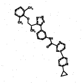 Cc1cccc(C)c1OC[C@H](C)n1cnnc1-c1cccc(NC(=O)c2cc(-c3ccc(C4CC4)nc3)ccn2)c1